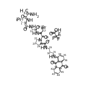 CC(C)C[C@H](NC(=O)[C@H](C)N)C(=O)NCC(=O)N[C@@H](CC(C)C)C(=O)N1CCC[C@@H]1C(=O)NCCCNc1cccc2c1C(=O)c1ccccc1C2=O.O=C(O)C(F)(F)F